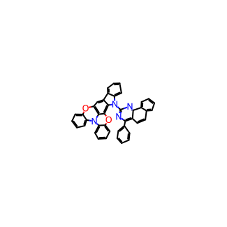 c1ccc(-c2nc(-n3c4ccccc4c4cc5c6c(c43)Oc3ccccc3N6c3ccccc3O5)nc3c2ccc2ccccc23)cc1